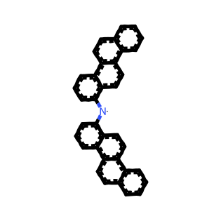 c1ccc2c(c1)ccc1c3cccc([N]c4cccc5c4ccc4c6ccccc6ccc54)c3ccc21